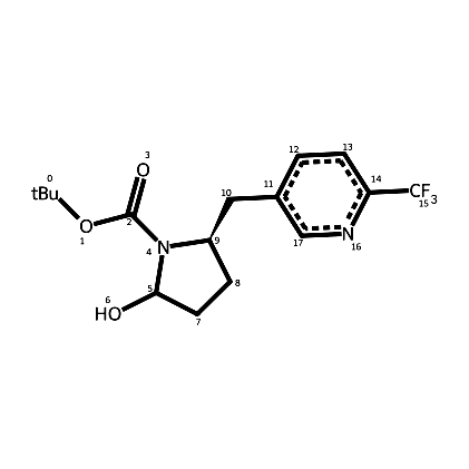 CC(C)(C)OC(=O)N1C(O)CC[C@@H]1Cc1ccc(C(F)(F)F)nc1